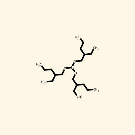 CCCC(CC)COB(OCC(CC)CCC)OCC(CC)CCC